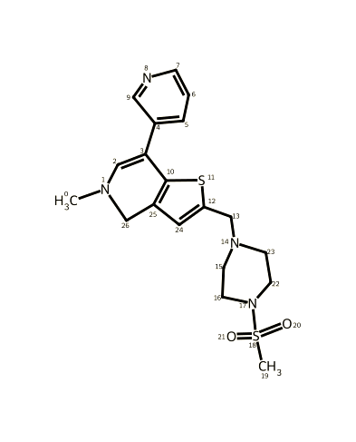 CN1C=C(c2cccnc2)c2sc(CN3CCN(S(C)(=O)=O)CC3)cc2C1